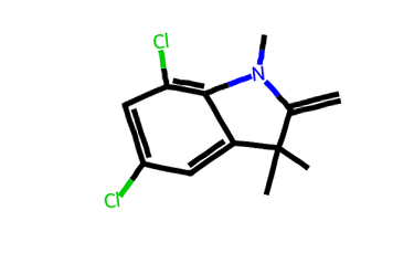 C=C1N(C)c2c(Cl)cc(Cl)cc2C1(C)C